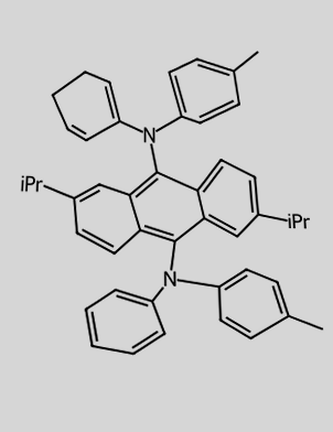 Cc1ccc(N(C2=CCCC=C2)c2c3cc(C(C)C)ccc3c(N(c3ccccc3)c3ccc(C)cc3)c3cc(C(C)C)ccc23)cc1